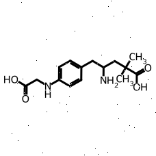 CC(C)(CC(N)Cc1ccc(NCC(=O)O)cc1)C(=O)O